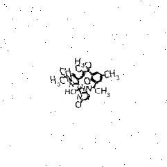 Cc1cc([C@@H](C)Nc2ccc(Cl)nc2C(=O)O)c2oc(-c3cnn(C(C)C)c3)c(C)c(=O)c2c1